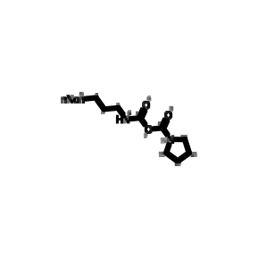 CCCCCCCCCCCCNC(=O)OC(=O)N1CCCC1